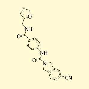 N#Cc1ccc2c(c1)CN(C(=O)Nc1ccc(C(=O)NCC3CCCO3)cc1)C2